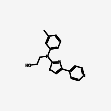 Cc1cccc(N(CCO)c2nc(-c3ccncc3)cs2)c1